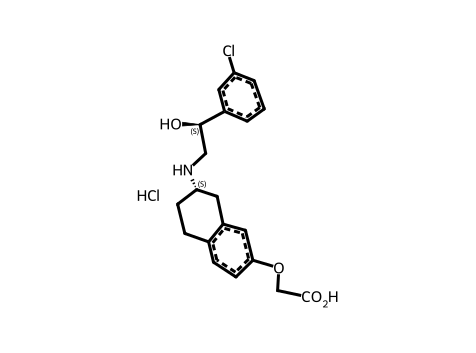 Cl.O=C(O)COc1ccc2c(c1)C[C@@H](NC[C@@H](O)c1cccc(Cl)c1)CC2